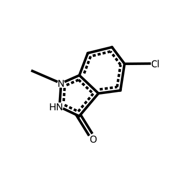 Cn1[nH]c(=O)c2cc(Cl)ccc21